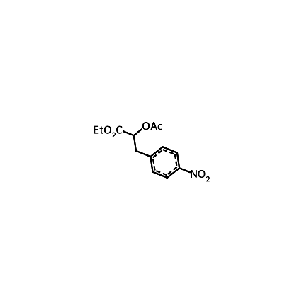 CCOC(=O)C(Cc1ccc([N+](=O)[O-])cc1)OC(C)=O